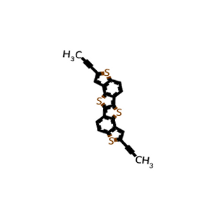 CC#Cc1cc2c(ccc3c2sc2c4ccc5sc(C#CC)cc5c4sc32)s1